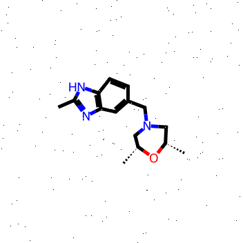 Cc1nc2cc(CN3C[C@@H](C)O[C@@H](C)C3)ccc2[nH]1